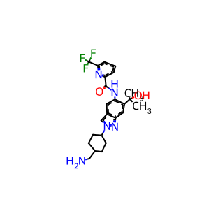 CC(C)(O)c1cc2nn(C3CCC(CN)CC3)cc2cc1NC(=O)c1cccc(C(F)(F)F)n1